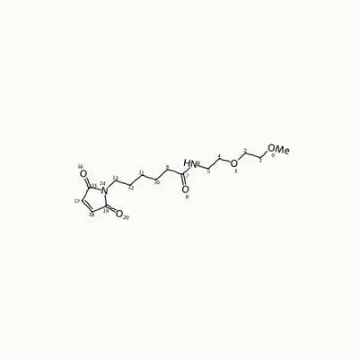 COCCOCCNC(=O)CCCCCN1C(=O)C=CC1=O